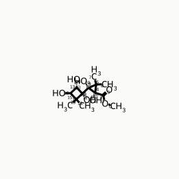 COC(=O)[C@]1(O)C(C)(C)[C@]1(O)[C@]1(O)[C@@H](O)C(O)C1(C)C